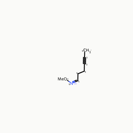 [CH2]C#CCC/C=N\OC